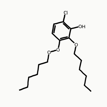 CCCCCCOOc1ccc(Cl)c(O)c1OCCCCCC